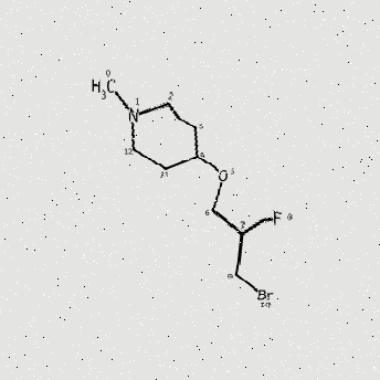 CN1CCC(OCC(F)CBr)CC1